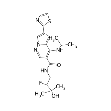 CC(C)Nc1c(C(=O)NCC(F)C(C)(C)O)cnn2cc(-c3nccs3)cc12